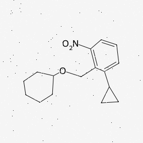 O=[N+]([O-])c1cccc(C2CC2)c1COC1CCCCC1